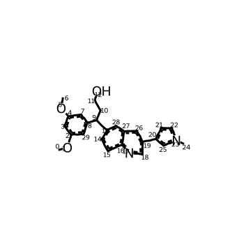 COc1cc(OC)cc(C(CCO)c2ccc3ncc(-c4ccn(C)c4)cc3c2)c1